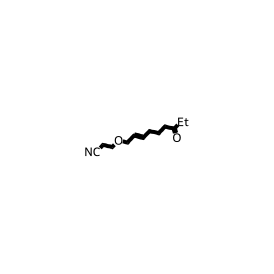 CCC(=O)CCC/C=C/COCCC#N